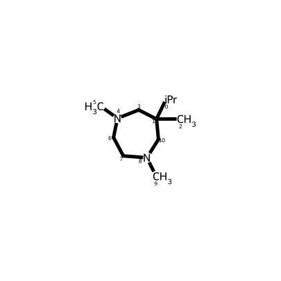 CC(C)C1(C)CN(C)CCN(C)C1